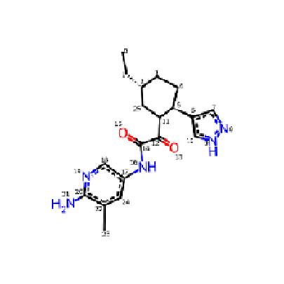 CC[C@@H]1CC[C@@H](c2cn[nH]c2)C(C(=O)C(=O)Nc2cnc(N)c(C)c2)C1